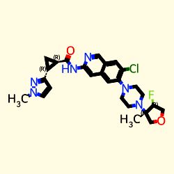 Cn1ccc([C@@H]2C[C@H]2C(=O)Nc2cc3cc(N4CCN([C@]5(C)COC[C@@H]5F)CC4)c(Cl)cc3cn2)n1